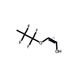 CC(F)(F)C(F)(F)O/C=C\O